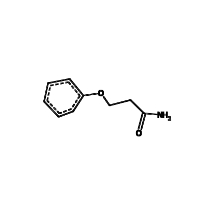 NC(=O)CCOc1ccccc1